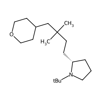 CC(C)(CC[C@@H]1CCCN1C(C)(C)C)CC1CCOCC1